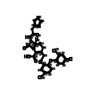 O=C(Cn1cnnn1)NC1C(=O)N2C(C(=O)O)=C(COc3cc(Cl)ccc3Oc3ccc(Cl)cc3Cl)CS[C@@H]12